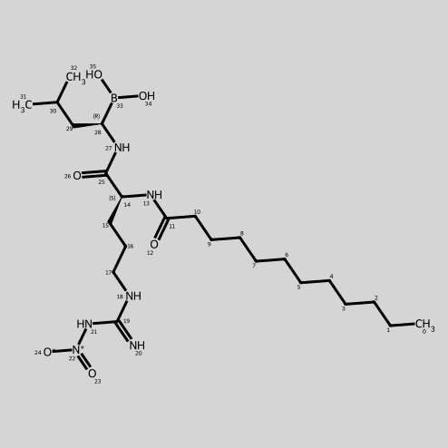 CCCCCCCCCCCC(=O)N[C@@H](CCCNC(=N)N[N+](=O)[O-])C(=O)N[C@@H](CC(C)C)B(O)O